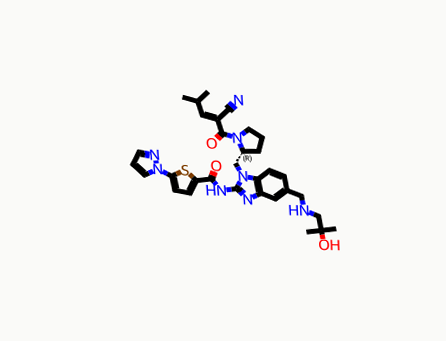 CC(C)C=C(C#N)C(=O)N1CCC[C@@H]1Cn1c(NC(=O)c2ccc(-n3cccn3)s2)nc2cc(CNCC(C)(C)O)ccc21